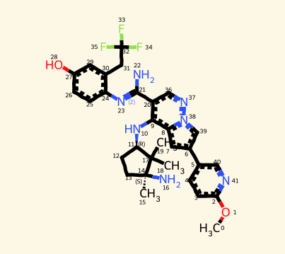 COc1ccc(-c2cc3c(N[C@@H]4CC[C@](C)(N)C4(C)C)c(/C(N)=N/c4ccc(O)cc4CC(F)(F)F)cnn3c2)cn1